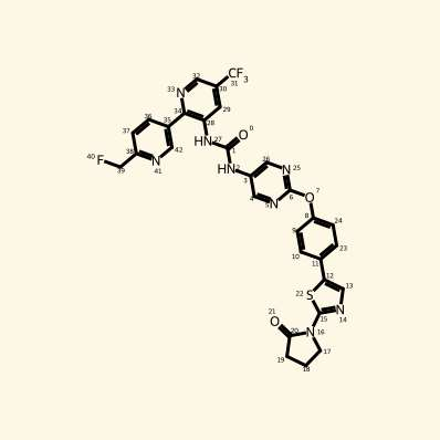 O=C(Nc1cnc(Oc2ccc(-c3cnc(N4CCCC4=O)s3)cc2)nc1)Nc1cc(C(F)(F)F)cnc1-c1ccc(CF)nc1